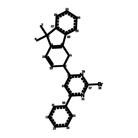 CC1(C)C2=C(CC(c3cc(-c4ccccc4)nc(Br)n3)C=C2)c2ccccc21